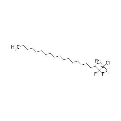 CCCCCCCCCCCCCCCCCC(F)C(F)(F)[Si](Cl)(Cl)Cl